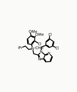 COc1ccc([N+](C=O)(CCC(C)C)Cc2nc3cccnc3n2Cc2cc(Cl)cc(Cl)c2)c(Cl)c1OC